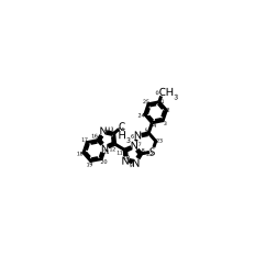 Cc1ccc(C2=Nn3c(nnc3-c3c(C)nc4ccccn34)SC2)cc1